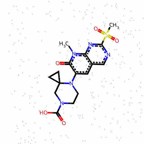 Cn1c(=O)c(N2CCN(C(=O)O)CC23CC3)cc2cnc(S(C)(=O)=O)nc21